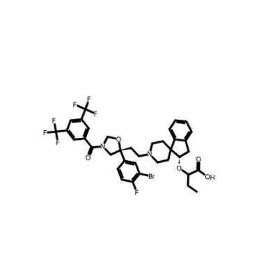 CCC(O[C@H]1Cc2ccccc2C12CCN(CC[C@@]1(c3ccc(F)c(Br)c3)CN(C(=O)c3cc(C(F)(F)F)cc(C(F)(F)F)c3)CO1)CC2)C(=O)O